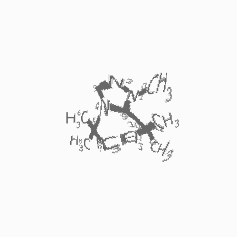 CN1N=CN(C(C)(C)C)C1C(C)(C)C